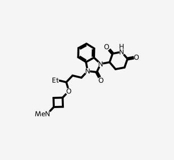 CCC(CCn1c(=O)n(C2CCC(=O)NC2=O)c2ccccc21)OC1CC(NC)C1